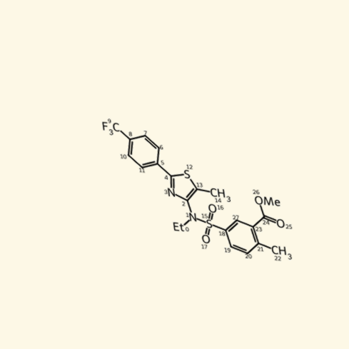 CCN(c1nc(-c2ccc(C(F)(F)F)cc2)sc1C)S(=O)(=O)c1ccc(C)c(C(=O)OC)c1